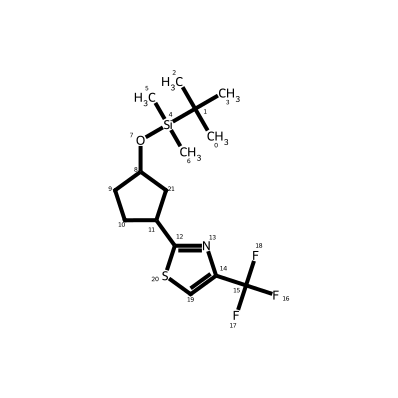 CC(C)(C)[Si](C)(C)OC1CCC(c2nc(C(F)(F)F)cs2)C1